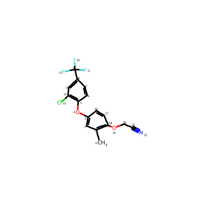 Cc1cc(Oc2ccc(C(F)(F)F)cc2Cl)ccc1OCC#N